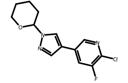 Fc1cc(-c2cnn(C3CCCCO3)c2)cnc1Cl